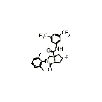 Cc1cccc(C)c1N1CC2(C(=O)Nc3cc(C(F)(F)F)cc(C(F)(F)F)c3)C[C@H](F)CC2C1=O